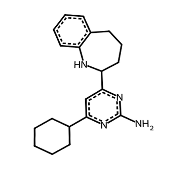 Nc1nc(C2CCCCC2)cc(C2CCCc3ccccc3N2)n1